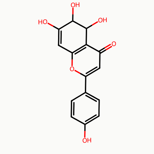 O=c1cc(-c2ccc(O)cc2)oc2c1C(O)C(O)C(O)=C2